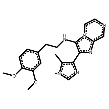 COc1ccc(CCNc2c(-c3nc[nH]c3C)nc3cnccn23)cc1OC